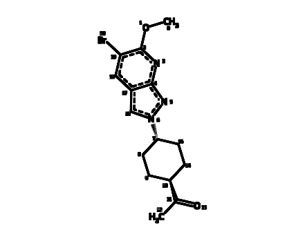 COc1nc2nn([C@H]3CC[C@H](C(C)=O)CC3)cc2cc1Br